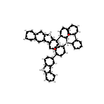 c1ccc(-c2ccccc2N(c2ccc(-c3ccc4oc5ccccc5c4c3)cc2)c2ccccc2-c2cccc3c2oc2cc4ccccc4cc23)cc1